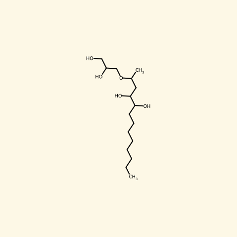 CCCCCCCCC(O)C(O)CC(C)OCC(O)CO